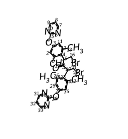 Cc1cc(Oc2ncccn2)cc(C)c1C(CBr)C(=O)C(CBr)c1c(C)cc(Oc2ncccn2)cc1C